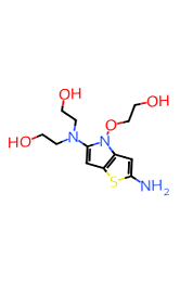 Nc1cc2c(cc(N(CCO)CCO)n2OCCO)s1